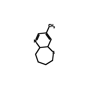 CC1=CC2SCCCCC2N=C1